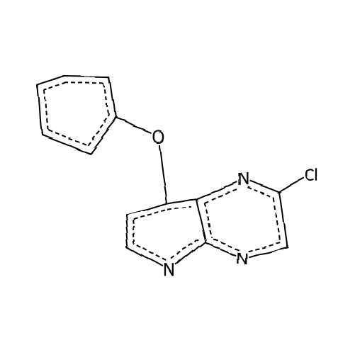 Clc1cnc2nccc(Oc3ccccc3)c2n1